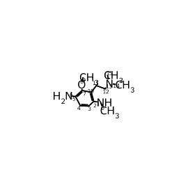 CNc1ccc(N)c(OC)c1CCN(C)C